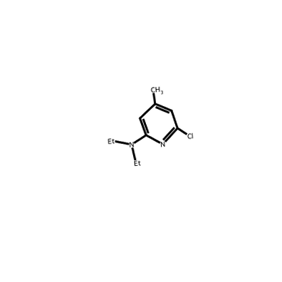 CCN(CC)c1cc(C)cc(Cl)n1